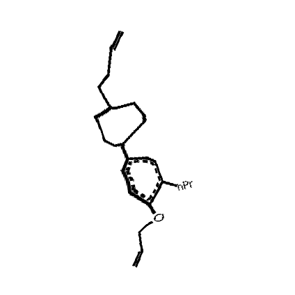 C=CCCC1CCC(c2ccc(OCC=C)c(CCC)c2)CC1